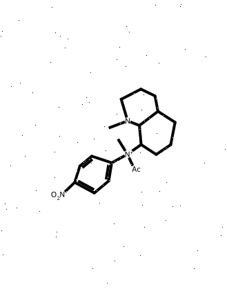 CC(=O)[N+](C)(c1ccc([N+](=O)[O-])cc1)C1CCCC2CCCN(C)C21